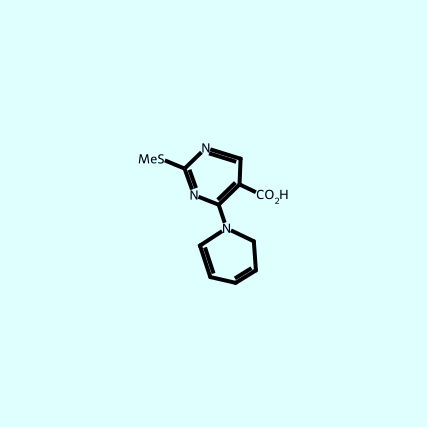 CSc1ncc(C(=O)O)c(N2C=CC=CC2)n1